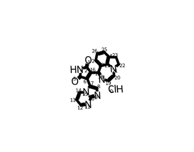 Cl.O=C1NC(=O)C(c2cnc3ncccn23)=C1C1=NC=CN2CCc3cccc1c32